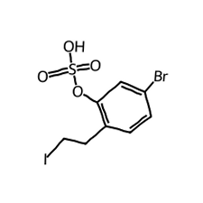 O=S(=O)(O)Oc1cc(Br)ccc1CCI